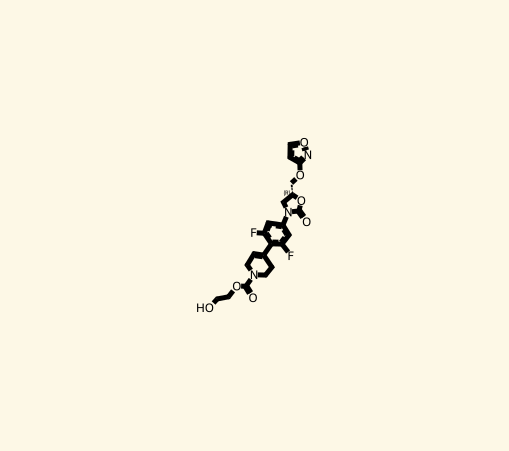 O=C(OCCO)N1CC=C(c2c(F)cc(N3C[C@H](COc4ccon4)OC3=O)cc2F)CC1